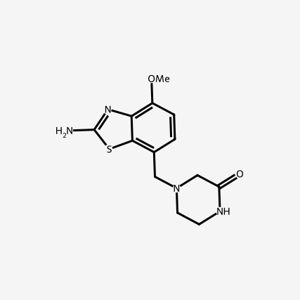 COc1ccc(CN2CCNC(=O)C2)c2sc(N)nc12